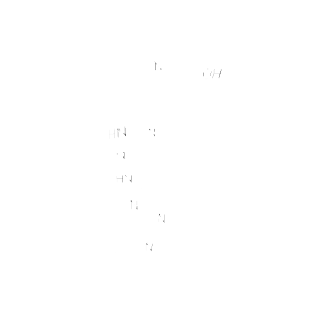 Cc1cccc(-c2nccc(Nc3ccnc(Nc4ccc(CN5CC(CO)C5)cc4)n3)n2)n1